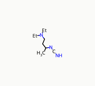 CCN(CC)CCC(C)N=C=N